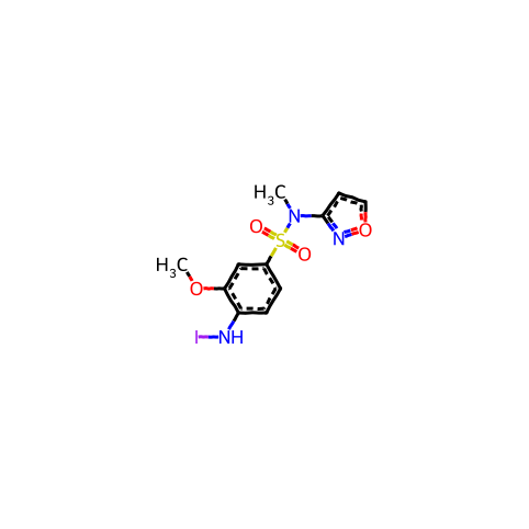 COc1cc(S(=O)(=O)N(C)c2ccon2)ccc1NI